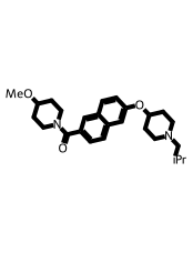 COC1CCN(C(=O)c2ccc3cc(OC4CCN(CC(C)C)CC4)ccc3c2)CC1